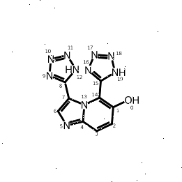 Oc1ccc2ncc(-c3nnn[nH]3)n2c1-c1nnn[nH]1